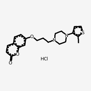 Cc1sccc1N1CCN(CCCOc2ccc3ccc(=O)oc3c2)CC1.Cl